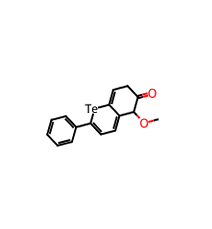 COC1C(=O)CC=C2[Te]C(c3ccccc3)=CC=C21